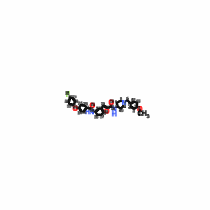 COc1ccc(CN2CCC(NC(=O)c3cc4cc(NC(=O)c5ccc(Oc6ccc(F)cc6)cc5)ccc4o3)CC2)cc1